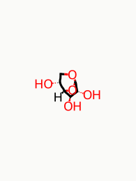 O[C@H]1[C@H]2OC(OC[C@H]2O)[C@@H]1O